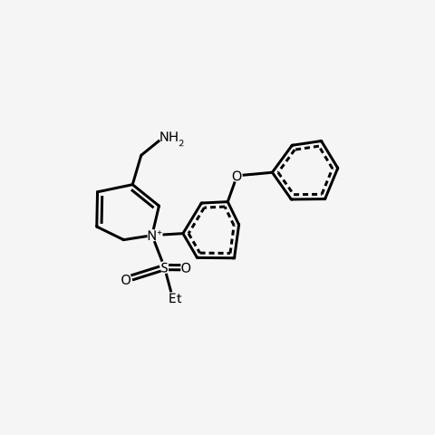 CCS(=O)(=O)[N+]1(c2cccc(Oc3ccccc3)c2)C=C(CN)C=CC1